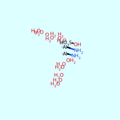 O.O.O.O.O.O.O.O.O.O.O.O.O=S(=O)(O)O.[NH2][Al].[NH2][Al]